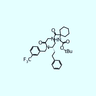 CC(C)(C)OC(=O)NC1(C(=O)N2CC(=O)N(Cc3cccc(C(F)(F)F)c3)[C@@H](CCc3ccccc3)C2)CCCCC1